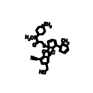 Cc1ccccc1C1=CC=CC(SCC(=O)N(C)C2CCN(C)CC2)(c2nc3cc(CO)cc(C#N)c3o2)C1Cl